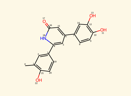 Cc1cc(-c2cc(-c3ccc(O)c(O)c3)cc(=O)[nH]2)ccc1O